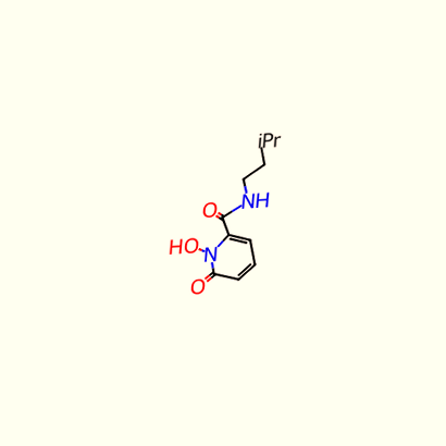 CC(C)CCNC(=O)c1cccc(=O)n1O